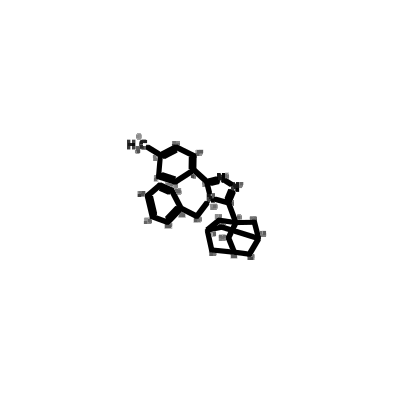 Cc1ccc(-c2nnc(C34CC5CC(CC(C5)C3)C4)n2Cc2ccccc2)cc1